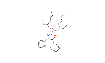 CCCCC(CC)CP(=O)(CC(CC)CCCC)C1=NC(c2ccccc2)C(c2ccccc2)O1